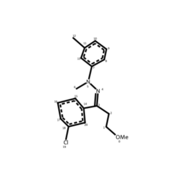 COCCC(=NN(C)c1cccc(C)c1)c1cccc(Cl)c1